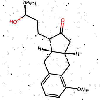 CCCCC[C@H](O)CCC1C(=O)C[C@@H]2Cc3c(cccc3OC)C[C@H]12